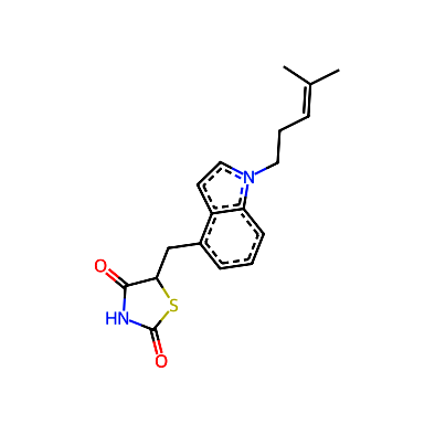 CC(C)=CCCn1ccc2c(CC3SC(=O)NC3=O)cccc21